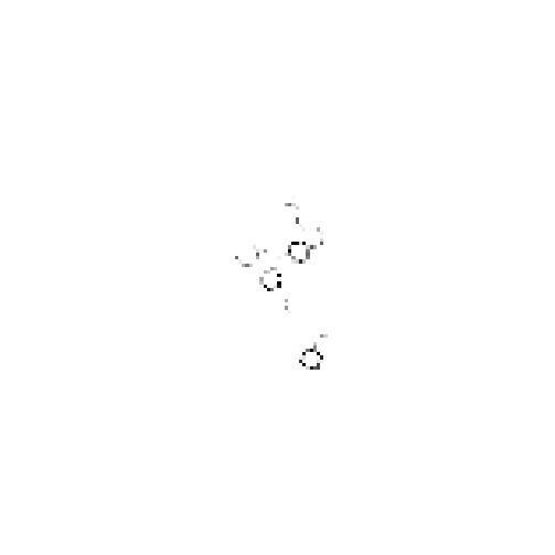 COC(=O)CCN1CCCc2ccc(COC3CNCC[C@@H]3c3ccc(OCCCOCc4ccccc4OC)cc3)cc21